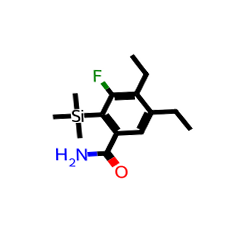 CCc1cc(C(N)=O)c([Si](C)(C)C)c(F)c1CC